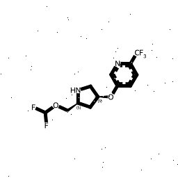 FC(F)OC[C@@H]1C[C@H](Oc2ccc(C(F)(F)F)nc2)CN1